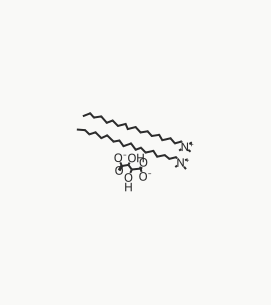 CCCCCCCCCCCCCCCCCC[N+](C)(C)C.CCCCCCCCCCCCCCCCCC[N+](C)(C)C.O=C([O-])C(O)C(O)C(=O)[O-]